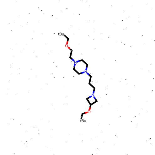 CC(C)(C)COCCN1CCN(CCCN2CC(OCC(C)(C)C)C2)CC1